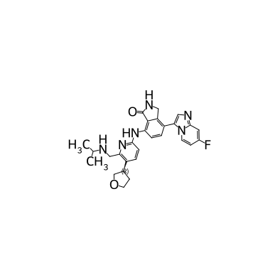 CC(C)NCc1nc(Nc2ccc(-c3cnc4cc(F)ccn34)c3c2C(=O)NC3)ccc1[C@H]1CCOC1